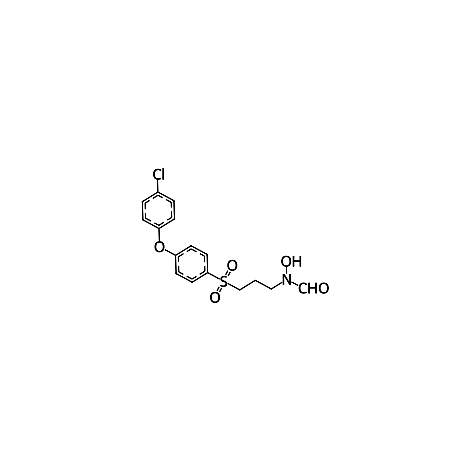 O=CN(O)CCCS(=O)(=O)c1ccc(Oc2ccc(Cl)cc2)cc1